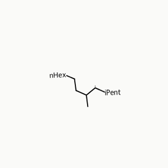 CCCCCCCCC(C)[CH]C(C)CCC